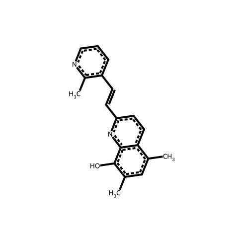 Cc1cc(C)c2ccc(C=Cc3cccnc3C)nc2c1O